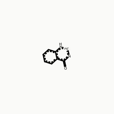 O=c1n[14cH][nH]c2ccccc12